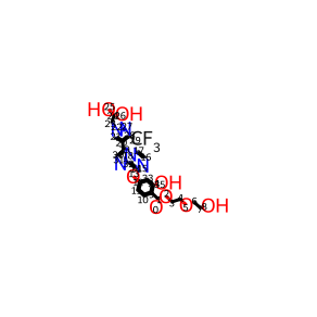 O=C(OCCOCCO)c1ccc(Oc2nccn3c(-c4cn(CC(O)O)nc4C(F)(F)F)cnc23)cc1O